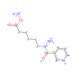 NOC(=O)CCCCCN(N)C(=O)c1cccnc1